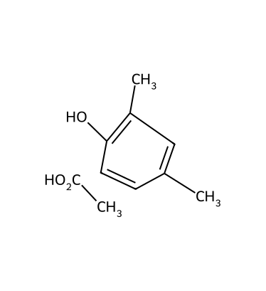 CC(=O)O.Cc1ccc(O)c(C)c1